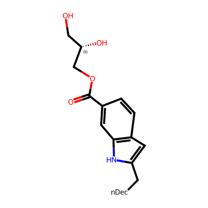 CCCCCCCCCCCc1cc2ccc(C(=O)OC[C@@H](O)CO)cc2[nH]1